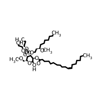 C=CCOP(=O)(OCC=C)O[C@H]1[C@H](OCC[C@@H](CCCCCCC)OC)[C@@H](OC(=O)CCCCCCCCC/C=C\CCCCCC)C(O)O[C@@H]1COC